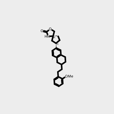 COc1ccccc1CCC1CCc2cc([C@H]3CC[C@]4(COC(=O)N4)C3)ccc2C1